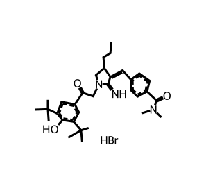 Br.CCCC1CN(CC(=O)c2cc(C(C)(C)C)c(O)c(C(C)(C)C)c2)C(=N)C1=Cc1ccc(C(=O)N(C)C)cc1